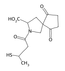 CC(S)CC(=O)N1CC2(CC1C(=O)O)C(=O)CCC2=O